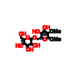 CO[C@H]1O[C@H](CO[C@H]2O[C@H](CO)[C@@H](O)[C@H](O)[C@H]2O)[C@@H](O)[C@H](O)[C@H]1OC